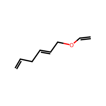 C=CCC=CCOC=C